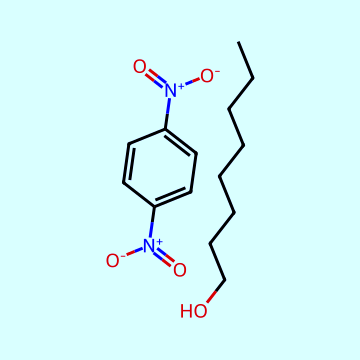 CCCCCCCCO.O=[N+]([O-])c1ccc([N+](=O)[O-])cc1